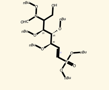 CCCCO[C@H]([C@@H](/C=C/P(=O)(OCCCC)OCCCC)OCCCC)[C@@H](OCCCC)C(CO)N(C=O)OCCCC